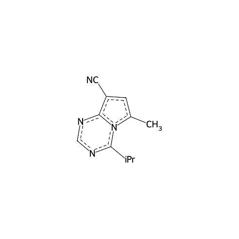 Cc1cc(C#N)c2ncnc(C(C)C)n12